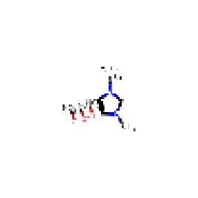 CCCCN1C=CN(C)C1.O=[N+]([O-])[O-].O=[N+]([O-])[O-].O=[N+]([O-])[O-].[Gd+3]